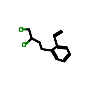 C=Cc1ccccc1CCC(Cl)CCl